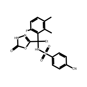 CCC(NS(=O)(=O)c1ccc(C#N)cc1)(c1n[nH]c(=O)o1)c1c(F)ccc(C)c1C